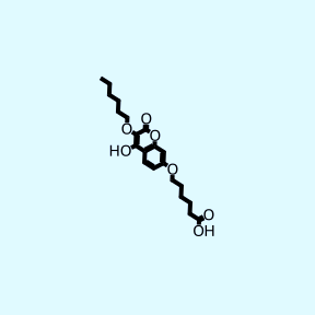 CCCCCCOc1c(O)c2ccc(OCCCCCC(=O)O)cc2oc1=O